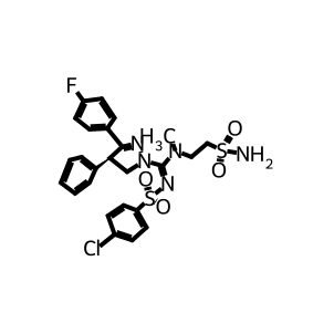 CN(CCS(N)(=O)=O)/C(=N/S(=O)(=O)c1ccc(Cl)cc1)N1C[C@@H](c2ccccc2)C(c2ccc(F)cc2)=N1